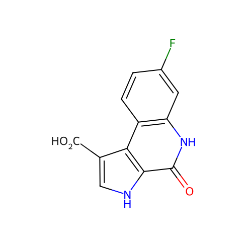 O=C(O)c1c[nH]c2c(=O)[nH]c3cc(F)ccc3c12